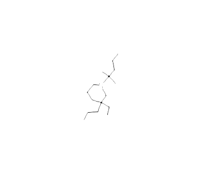 CCCC1(CC)CCCN(C(C)(C)CCC)C1